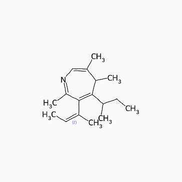 C/C=C(/C)C1=C(C(C)CC)C(C)C(C)=CN=C1C